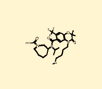 COCCCCN1C(=O)C(C)(C)Oc2cc(C(F)(F)F)c(C(=O)N(C(C)C)C3CCCCN(C(=O)O)C3)cc21